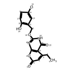 CCc1cc(=O)oc2nc(OCc3cc(Cl)ccc3O)[nH]c(=O)c12